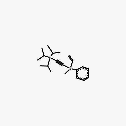 C=C[Si](C)(C#C[Si](C(C)C)(C(C)C)C(C)C)c1ccccc1